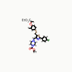 CCOC(=O)C(C)Oc1ccc(SCc2sc(-c3ccc(F)cc3)nc2CN2CCN(C(=O)OC(C)C)CC2)cc1C